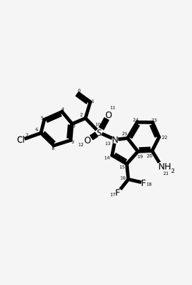 C=CC(c1ccc(Cl)cc1)S(=O)(=O)n1cc(C(F)F)c2c(N)cccc21